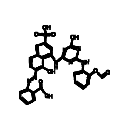 O=COc1ccccc1Nc1nc(O)nc(Nc2cc(S(=O)(=O)O)cc3ccc(N=Nc4ccccc4C(=O)O)c(O)c23)n1